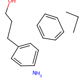 CCC.N.OCCCc1ccccc1.c1ccccc1